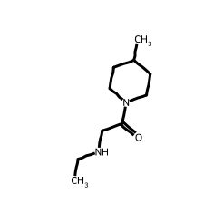 CCNCC(=O)N1CCC(C)CC1